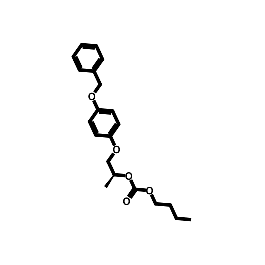 CCCCOC(=O)O[C@@H](C)COc1ccc(OCc2ccccc2)cc1